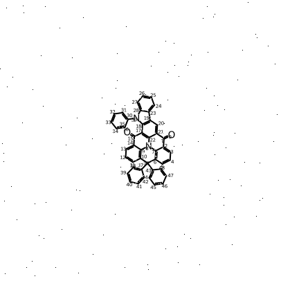 O=c1c2cccc3c2n2c4c(cccc4c(=O)c4c5c(cc1c42)c1ccccc1n5-c1ccccc1)C3(c1ccccc1)c1ccccc1